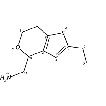 CCc1cc2c(s1)CCOC2CN